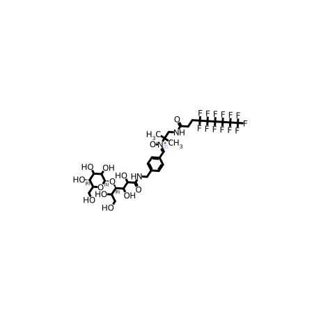 CC(C)(CNC(=O)CCC(F)(F)C(F)(F)C(F)(F)C(F)(F)C(F)(F)C(F)(F)F)/[N+]([O-])=C/c1ccc(CNC(=O)C(O)C(O)[C@H](O[C@@H]2OC(CO)[C@H](O)C(O)C2O)C(O)CO)cc1